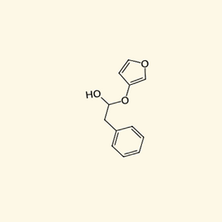 OC(Cc1ccccc1)Oc1ccoc1